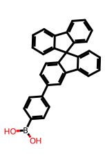 OB(O)c1ccc(-c2ccc3c(c2)-c2ccccc2C32c3ccccc3-c3ccccc32)cc1